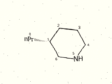 CCC[C@@H]1CCCNC1